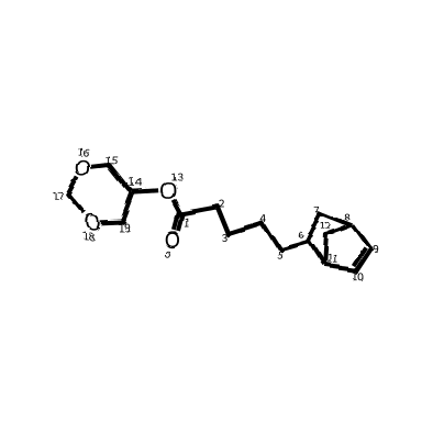 O=C(CCCCC1CC2C=CC1C2)OC1COCOC1